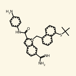 CC(C)(C)Sc1cccc2c(Cn3c(C(=O)Nc4ccc(N)cc4)cc4ccc(C(=N)N)cc43)cccc12